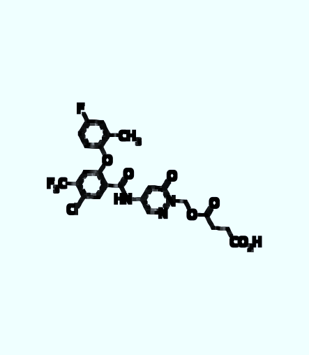 Cc1cc(F)ccc1Oc1cc(C(F)(F)F)c(Cl)cc1C(=O)Nc1cnn(COC(=O)CCC(=O)O)c(=O)c1